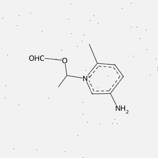 Cc1ccc(N)c[n+]1C(C)OC=O